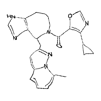 Cc1cccc2cc(C3c4nc[nH]c4CCN3C(=O)c3ocnc3C3CC3)nn12